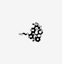 [2H]C([2H])([2H])c1nnn(C)c1-c1cnc2c3c(OCCO)ncc(S(C)(=O)=O)c3n([C@H](c3ccccc3F)C3CCOCC3)c2c1